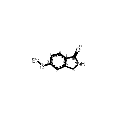 CCSc1ccc2c(c1)CNC2=O